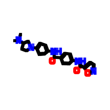 CN(C)C1CCN(c2ccc(NC(=O)c3ccc(NC(=O)c4ccno4)cc3)cc2)C1